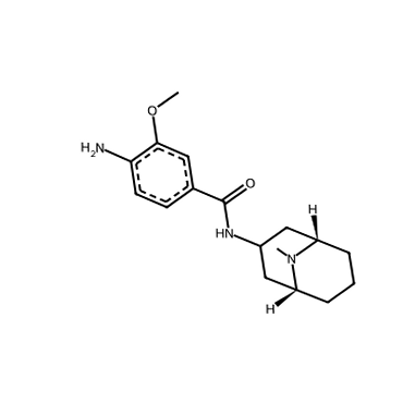 COc1cc(C(=O)NC2C[C@H]3CCC[C@@H](C2)N3C)ccc1N